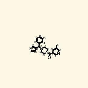 Cc1cncc(C(=O)N2CCN(C(c3ccccc3)c3ccsc3)CC2)c1